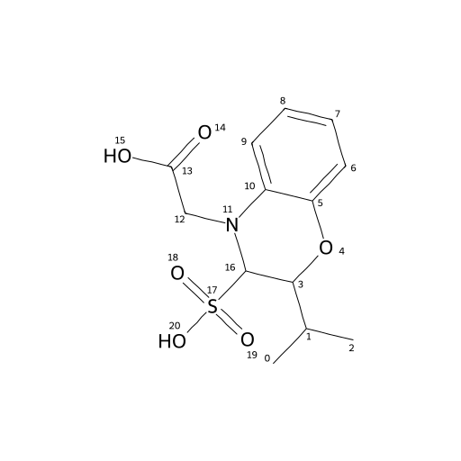 CC(C)C1Oc2ccccc2N(CC(=O)O)C1S(=O)(=O)O